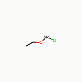 CC[O][Mo][Cl]